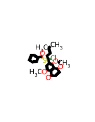 COc1cc(C(Cl)(CC=C(C)C)SC(=O)c2ccccc2)c(OC)c2c1C(=O)C=CC2=O